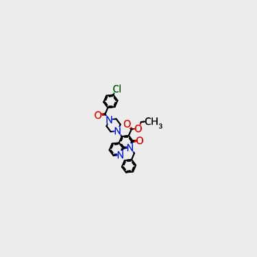 CCOC(=O)c1c(N2CCN(C(=O)c3ccc(Cl)cc3)CC2)c2cccnc2n(Cc2ccccc2)c1=O